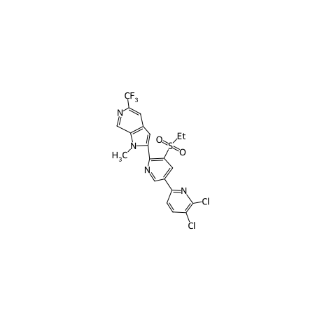 CCS(=O)(=O)c1cc(-c2ccc(Cl)c(Cl)n2)cnc1-c1cc2cc(C(F)(F)F)ncc2n1C